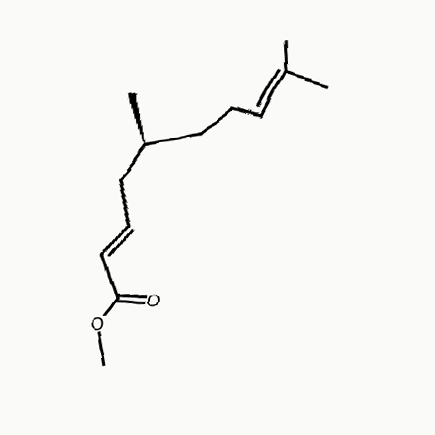 COC(=O)/C=C/C[C@@H](C)CCC=C(C)C